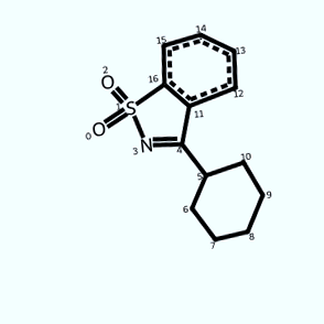 O=S1(=O)N=C(C2CCCCC2)c2cc[c]cc21